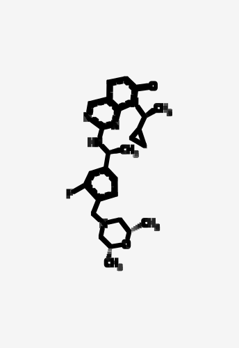 C[C@@H]1CN(Cc2ccc([C@H](C)Nc3ncc4ccc(=O)n([C@@H](C)C5CC5)c4n3)cc2F)C[C@H](C)O1